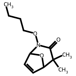 CCCCON1C(=O)C(C)(C)C2C=CC1O2